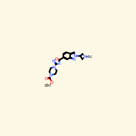 CC(=O)N1CC(n2cc3ccc(-c4nc(N5CCN(C(=O)OC(C)(C)C)CC5)no4)cc3n2)C1